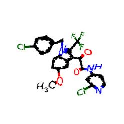 COc1ccc2c(c1)c(C(=O)C(=O)Nc1ccnc(Cl)c1)c(C(F)(F)F)n2Cc1ccc(Cl)cc1